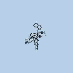 CC(C)CC(NC(=O)[C@H](Cc1c[nH]cn1)NC(=O)[C@H](N)Cc1cccc2ccccc12)P(=O)(O)CC(=O)O